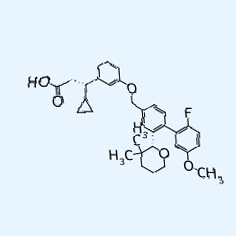 COc1ccc(F)c(-c2ccc(COc3cccc([C@@H](CC(=O)O)C4CC4)c3)cc2[C@@H]2OCCCC2(C)C)c1